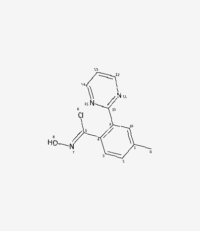 Cc1ccc(C(Cl)=NO)c(-c2ncccn2)c1